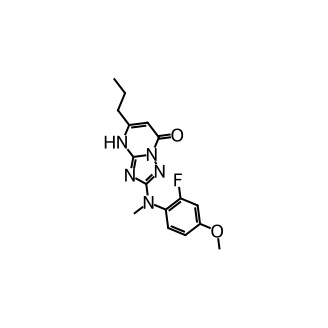 CCCc1cc(=O)n2nc(N(C)c3ccc(OC)cc3F)nc2[nH]1